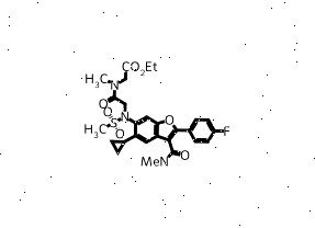 CCOC(=O)CN(C)C(=O)CN(c1cc2oc(-c3ccc(F)cc3)c(C(=O)NC)c2cc1C1CC1)S(C)(=O)=O